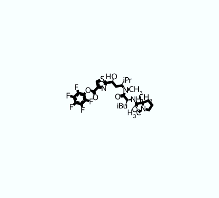 CC[C@H](C)[C@H](NC(=O)[C@@]1(C)CCCN1C)C(=O)N(C)[C@H](C[C@@H](O)c1nc(C(=O)Oc2c(F)c(F)c(F)c(F)c2F)cs1)C(C)C